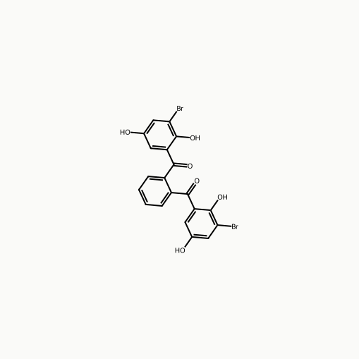 O=C(c1ccccc1C(=O)c1cc(O)cc(Br)c1O)c1cc(O)cc(Br)c1O